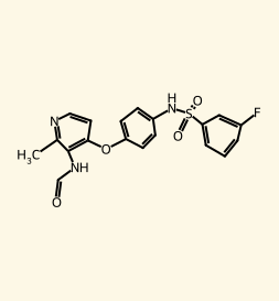 Cc1nccc(Oc2ccc(NS(=O)(=O)c3cccc(F)c3)cc2)c1NC=O